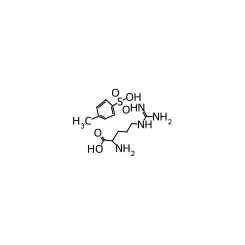 Cc1ccc(S(=O)(=O)O)cc1.N=C(N)NCCCC(N)C(=O)O